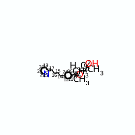 CC(C)(O)CCOC(C)(C)c1ccc(CCCCc2ccccn2)cc1